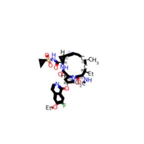 CCOc1cc2ccnc(O[C@@H]3C[C@H]4C(=O)N[C@]5(C(=O)NS(=O)(=O)C6CC6)C[C@H]5/C=C\CC[C@H](C)C[C@@H](CC)[C@H](NC(=O)O)C(=O)N4C3)c2cc1F